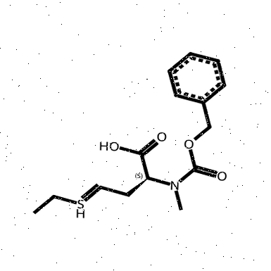 CC[SH]=CC[C@@H](C(=O)O)N(C)C(=O)OCc1ccccc1